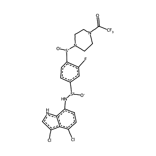 O=C(N1CCN([S+]([O-])c2ccc([S+]([O-])Nc3ccc(Cl)c4c(Cl)c[nH]c34)cc2F)CC1)C(F)(F)F